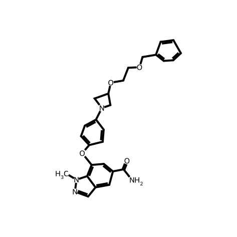 Cn1ncc2cc(C(N)=O)cc(Oc3ccc(N4CC(OCCOCc5ccccc5)C4)cc3)c21